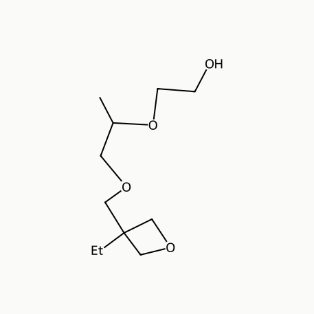 CCC1(COCC(C)OCCO)COC1